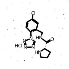 Cl.O=C(NCc1cc(Cl)ccc1-n1cnnn1)[C@@H]1CCCN1